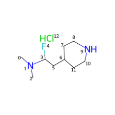 CN(C)C(F)CC1CCNCC1.Cl